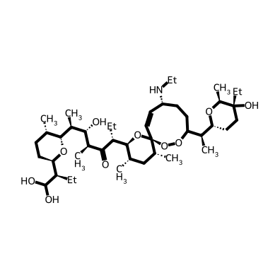 CCN[C@H]1/C=C\[C@@]2(OOC([C@H](C)[C@H]3CC[C@](O)(CC)[C@H](C)O3)CC1)O[C@H]([C@@H](CC)C(=O)[C@@H](C)[C@@H](O)[C@H](C)[C@@H]1O[C@@H]([C@@H](CC)C(O)O)CC[C@@H]1C)[C@@H](C)C[C@H]2C